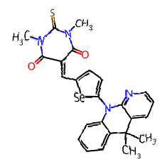 CN1C(=O)C(=Cc2ccc(N3c4ccccc4C(C)(C)c4cccnc43)[se]2)C(=O)N(C)C1=S